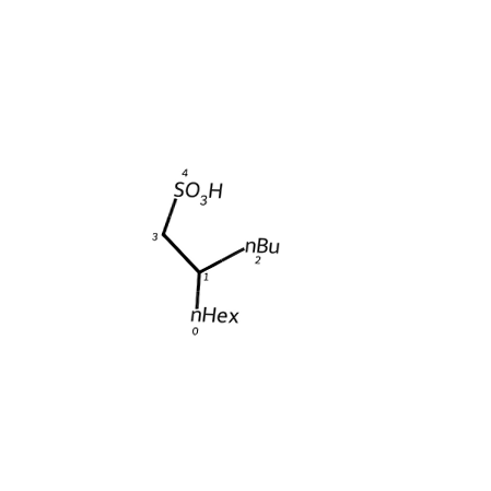 CCCCCCC(CCCC)CS(=O)(=O)O